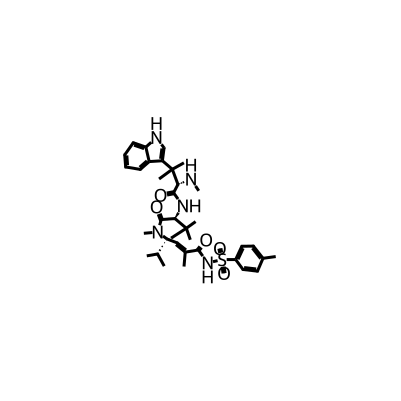 CN[C@H](C(=O)N[C@H](C(=O)N(C)[C@H](/C=C(\C)C(=O)NS(=O)(=O)c1ccc(C)cc1)C(C)C)C(C)(C)C)C(C)(C)c1c[nH]c2ccccc12